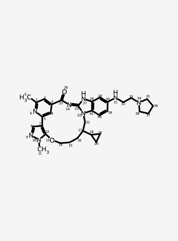 Cc1cc2cc(n1)-c1cnn(C)c1OCCCC(C1CC1)CN1/C(=N/C2=O)Nc2cc(NCCN3CCCC3)ccc21